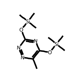 Cc1nnc(O[Si](C)(C)C)nc1O[Si](C)(C)C